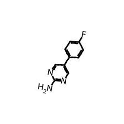 Nc1ncc(-c2ccc(F)cc2)cn1